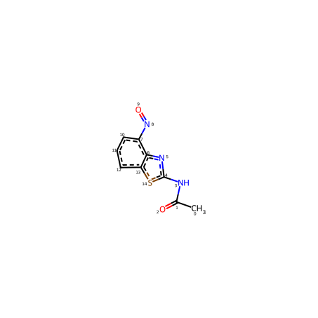 CC(=O)Nc1nc2c(N=O)cccc2s1